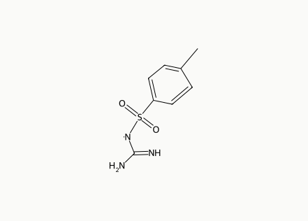 Cc1ccc(S(=O)(=O)[N]C(=N)N)cc1